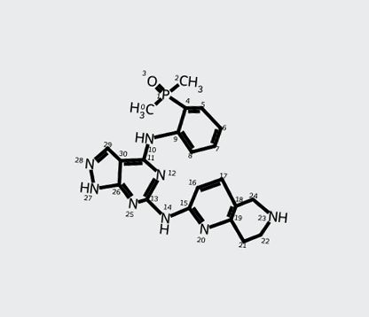 CP(C)(=O)c1ccccc1Nc1nc(Nc2ccc3c(n2)CCNC3)nc2[nH]ncc12